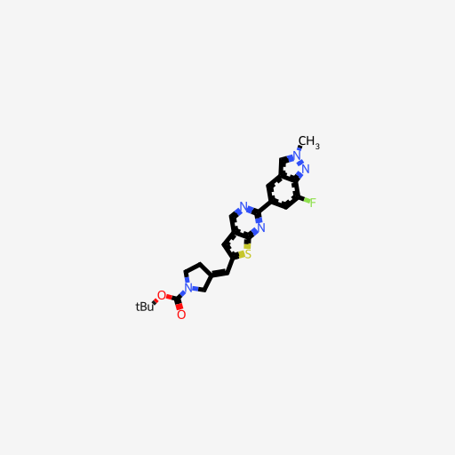 Cn1cc2cc(-c3ncc4cc(/C=C5\CCN(C(=O)OC(C)(C)C)C5)sc4n3)cc(F)c2n1